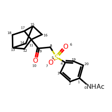 CC(=O)Nc1ccc(S(=O)(=O)CC(=O)C23CC4CC(C2)C3C4)cc1